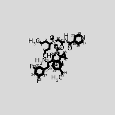 CCCC(CCC)S(=O)(=O)CC(NC(=O)c1ccncc1)OCN(C[C@@H](O)[C@@H](N)Cc1cc(F)cc(F)c1)C1(c2cccc(CC)c2)CC1